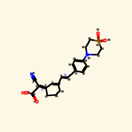 N#C/C(C(=O)O)=C1C=C(/C=C/c2ccc(N3CCS(=O)(=O)CC3)cc2)CCC\1